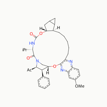 COc1ccc2nc3c(nc2c1)O[C@H]1CN(C(=O)[C@H](C(C)C)NC(=O)O[C@@H]2CC4CC4[C@H]2CCCCC3)[C@H](C(C)=O)[C@@H]1c1ccccc1